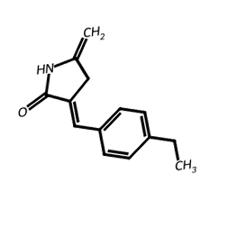 C=C1C/C(=C\c2ccc(CC)cc2)C(=O)N1